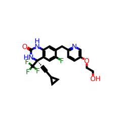 O=C1Nc2cc(Cc3ccc(OCCO)cn3)c(F)cc2[C@@](C#CC2CC2)(C(F)(F)F)N1